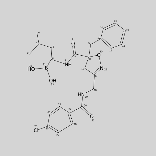 CC(C)CC(NC(=O)C1(Cc2ccccc2)CC(CNC(=O)c2ccc(Cl)cc2)=NO1)B(O)O